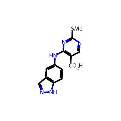 CSc1ncc(C(=O)O)c(Nc2ccc3[nH]ncc3c2)n1